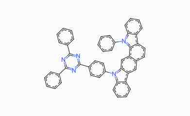 c1ccc(-c2nc(-c3ccccc3)nc(-c3ccc(-n4c5ccccc5c5cc6ccc7c8ccccc8n(-c8ccccc8)c7c6cc54)cc3)n2)cc1